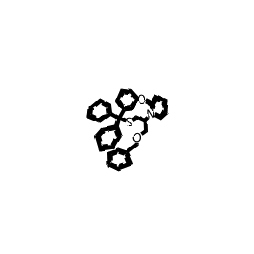 O=c1ccccn1C(COCc1ccccc1)CSC(c1ccccc1)(c1ccccc1)c1ccccc1